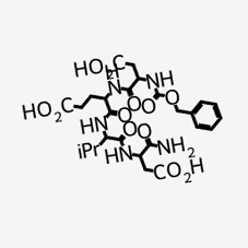 CC(C)C(NC(=O)C(CCC(=O)O)NC(=O)C(CC(=O)O)NC(=O)OCc1ccccc1)C(=O)NC(CC(=O)O)C(N)=O